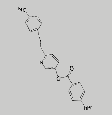 CCCc1ccc(C(=O)Oc2ccc(CCc3ccc(C#N)cc3)nc2)cc1